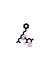 CC(C)CC(CCCCc1ccccc1)NC(=O)C(CC(C)C)C(=O)NO